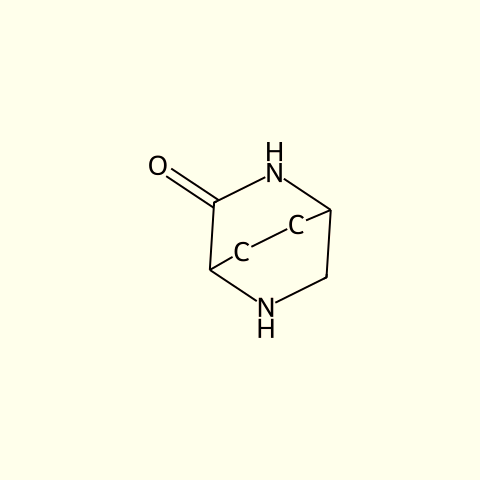 O=C1NC2CCC1NC2